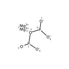 [Mg+2].[Mg+2].[O-]P([O-])OP([O-])[O-]